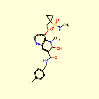 CNS(=O)(=O)C1(COc2ccnc3c2N(C)C(O)C(C(=O)NCc2ccc(Cl)cc2)=C3)CC1